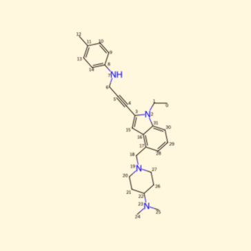 CCn1c(C#CCNc2ccc(C)cc2)cc2c(CN3CCC(N(C)C)CC3)cccc21